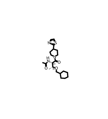 CC(=O)N[C@H](C(=O)N1CCC(c2nccs2)CC1)[C@@H](C)OCC1CCCCC1